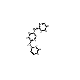 [c]1ccc(Oc2ccc(Nc3ccccn3)cc2)cc1